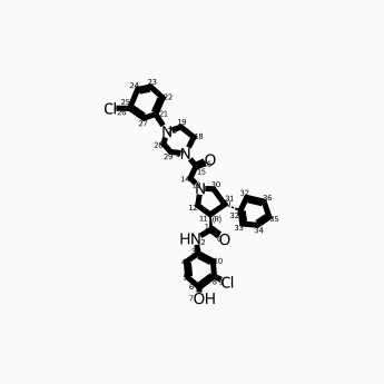 O=C(Nc1ccc(O)c(Cl)c1)[C@H]1CN(CC(=O)N2CCN(c3cccc(Cl)c3)CC2)C[C@@H]1c1ccccc1